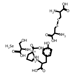 NC(CO)C(=O)O.NC(CSSCC(N)C(=O)O)C(=O)O.NC(Cc1ccc(O)cc1)C(=O)O.O=C(O)[C@@H]1CCCN1.[SeH2]